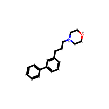 [c]1ccc(-c2cccc(CCCN3CCOCC3)c2)cc1